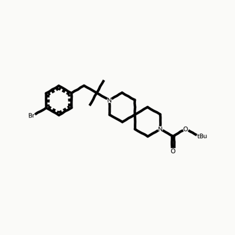 CC(C)(C)OC(=O)N1CCC2(CC1)CCN(C(C)(C)Cc1ccc(Br)cc1)CC2